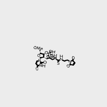 COC[C@H]1O[C@@H](n2ccc(=O)[nH]c2=O)[C@@H](CCCNC(=S)NCCN2C(=O)C=CC2=O)C1OP(O)(=S)OC